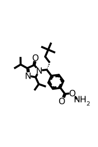 CC(C)C1=NC(C(C)C)N([C@H](CCC(C)(C)C)c2ccc(C(=O)ON)cc2)C1=O